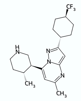 Cc1cc([C@@H]2CNCC[C@H]2C)n2nc([C@H]3CC[C@H](C(F)(F)F)CC3)cc2n1